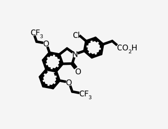 O=C(O)Cc1ccc(N2Cc3c(OCC(F)(F)F)cc4cccc(OCC(F)(F)F)c4c3C2=O)c(Cl)c1